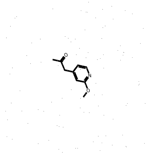 COc1cc(CC(C)=O)ccn1